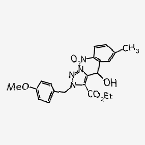 CCOC(=O)c1c(C(O)c2cc(C)ccc2[N+](=O)[O-])nnn1Cc1ccc(OC)cc1